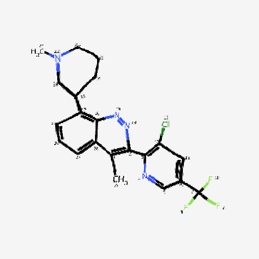 Cc1c(-c2ncc(C(F)(F)F)cc2Cl)nnc2c(C3CCCN(C)C3)cccc12